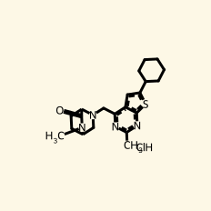 Cc1nc(CN2CC3CCC2C(=O)N3C)c2cc(C3CCCCC3)sc2n1.Cl